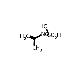 C=C(C)[N+](=O)[O-].O=C(O)O